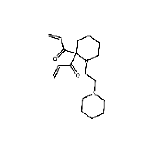 C=CC(=O)C1(C(=O)C=C)CCCCN1CCN1CCCCC1